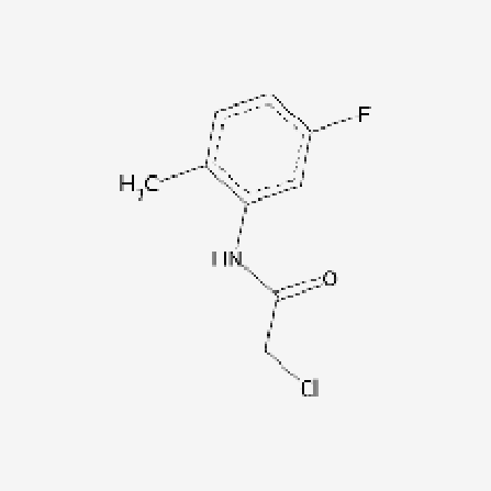 Cc1ccc(F)cc1NC(=O)CCl